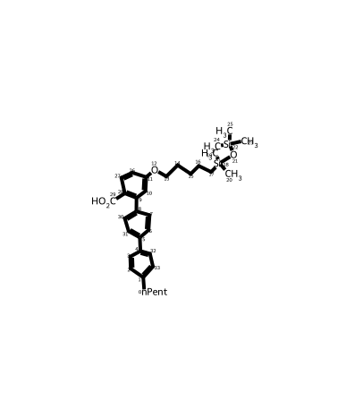 CCCCCc1ccc(-c2ccc(-c3cc(OCCCCC[Si](C)(C)O[Si](C)(C)C)ccc3C(=O)O)cc2)cc1